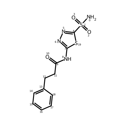 NS(=O)(=O)c1nnc(NC(=O)CCc2ccccc2)s1